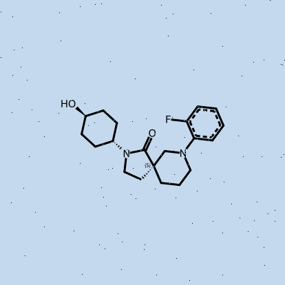 O=C1N([C@H]2CC[C@H](O)CC2)CC[C@]12CCCN(c1ccccc1F)C2